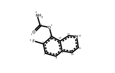 NC(=O)Oc1c(F)ccc2ccncc12